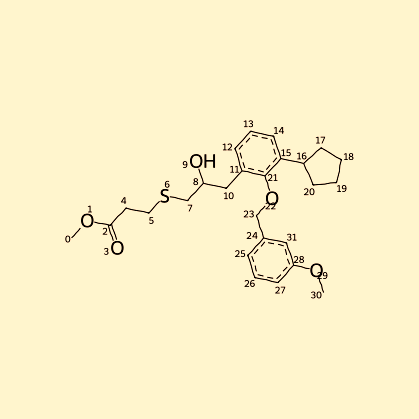 COC(=O)CCSCC(O)Cc1cccc(C2CCCC2)c1OCc1cccc(OC)c1